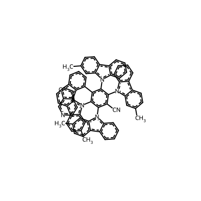 Cc1ccc2c3ccccc3n(-c3c(C#N)c(-n4c5ccccc5c5ccc(C)cc54)c(-n4c5ccccc5c5ccc(C)cc54)c(-c4cccc5oc6cnccc6c45)c3-n3c4ccccc4c4ccc(C)cc43)c2c1